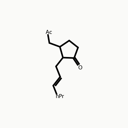 CCC/C=C/CC1C(=O)CCC1CC(C)=O